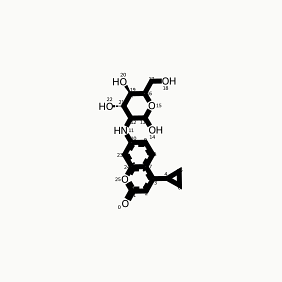 O=c1cc(C2CC2)c2ccc(NC3C(O)OC(CO)[C@H](O)[C@H]3O)cc2o1